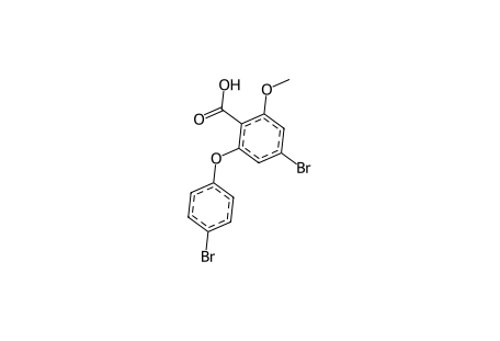 COc1cc(Br)cc(Oc2ccc(Br)cc2)c1C(=O)O